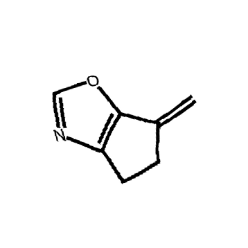 C=C1CCc2ncoc21